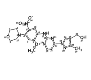 COc1cc(N2CCOCC2)c([N+](=O)[O-])cc1Nc1nccc(-n2cc(CO)c(C)n2)n1